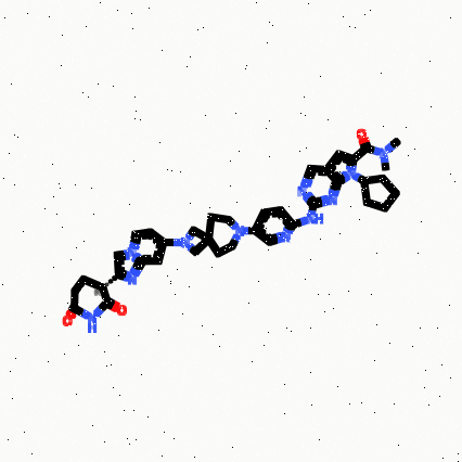 CN(C)C(=O)c1cc2cnc(Nc3ccc(N4CCC5(CC4)CN(c4ccn6cc([C@H]7CCC(=O)NC7=O)nc6c4)C5)cn3)nc2n1C1CCCC1